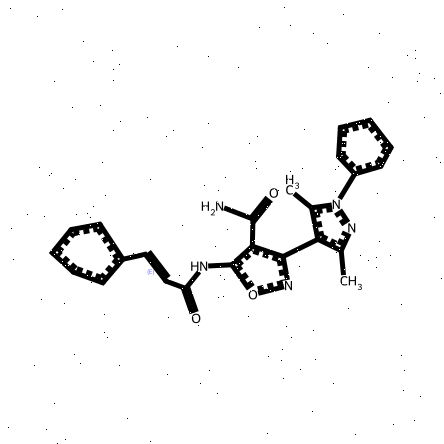 Cc1nn(-c2ccccc2)c(C)c1-c1noc(NC(=O)/C=C/c2ccccc2)c1C(N)=O